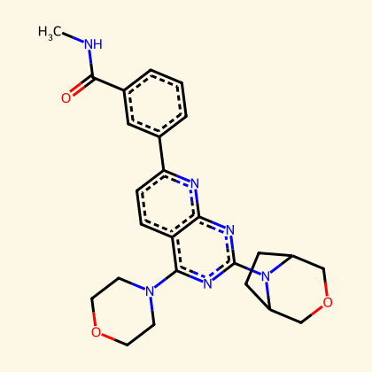 CNC(=O)c1cccc(-c2ccc3c(N4CCOCC4)nc(N4C5CCC4COC5)nc3n2)c1